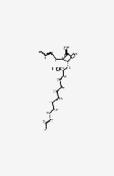 C/C=C/C[C@H]1C(=O)O[C@@H]1C[C@@H](O)CCCCCCCCCCC